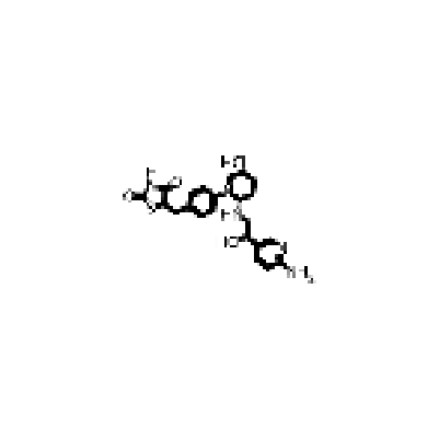 Cl.Nc1ccc(C(O)CN[C@@H]2CCCCN2c2ccc(CC3SC(=O)NC3=O)cc2)cn1